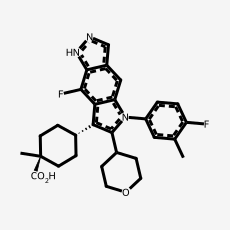 Cc1cc(-n2c(C3CCOCC3)c([C@H]3CC[C@](C)(C(=O)O)CC3)c3c(F)c4[nH]ncc4cc32)ccc1F